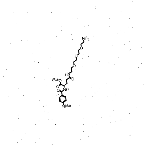 CNc1ccc(C(=O)N[C@H](CCC(=O)NCCOCCOCCOCCN)C(=O)OC(C)(C)C)cc1